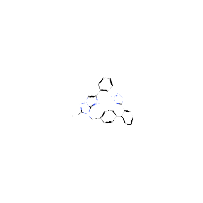 CCCCc1nn2cc(-c3ccccc3)nc2n1Cc1ccc(-c2ccccc2-c2nnn[nH]2)cc1